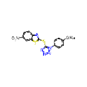 COc1ccc(-n2nnnc2Sc2nc3ccc([N+](=O)[O-])cc3s2)cc1